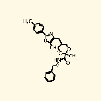 Cc1ccc(-c2nc(CC3COC(C)(C(=O)NOCc4ccccc4)OC3)c(C)o2)cc1